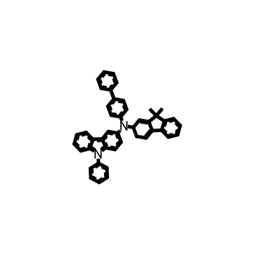 CC1(C)C2=CC(N(c3ccc(-c4ccccc4)cc3)c3ccc4c(c3)c3ccccc3n4-c3ccccc3)CC=C2c2ccccc21